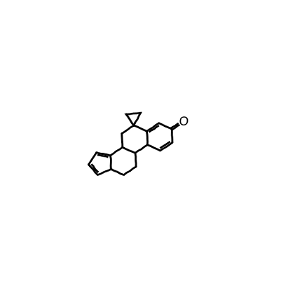 O=C1C=CC2C(=C1)C1(CC1)CC1C3=CC=CC3CCC21